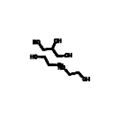 CC(C)CCO.OCC(O)CO.OCCO